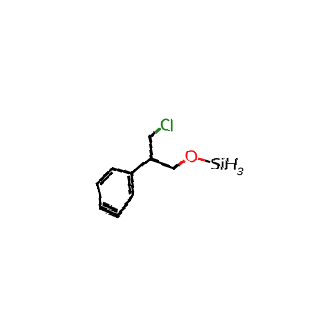 [SiH3]OCC(CCl)c1ccccc1